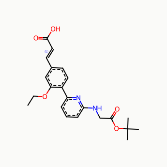 CCOc1cc(/C=C/C(=O)O)ccc1-c1cccc(NCC(=O)OC(C)(C)C)n1